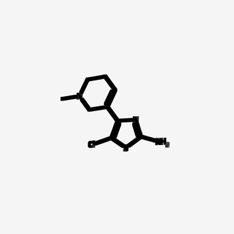 CN1CCC=C(c2nc(N)sc2Cl)C1